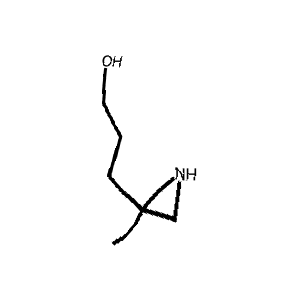 CC1(CCCO)CN1